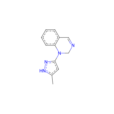 Cc1cc(N2CN=Cc3ccccc32)n[nH]1